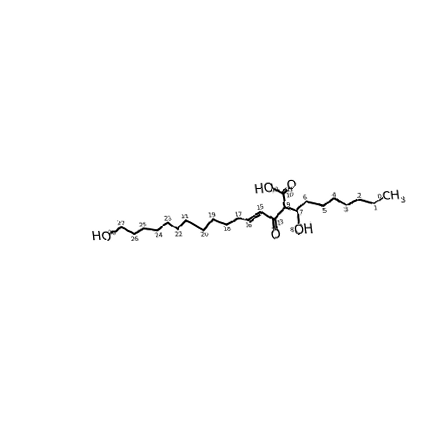 CCCCCCCC(O)C(C(=O)O)C(=O)C=CCCCCCCCCCCCO